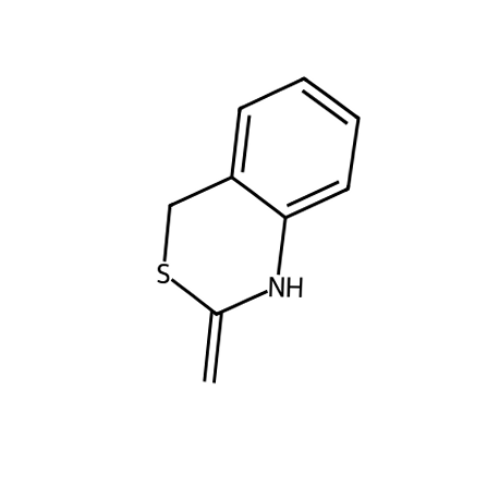 C=C1Nc2ccccc2CS1